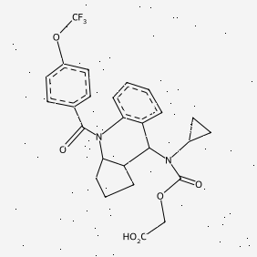 O=C(O)COC(=O)N(C1CC1)C1c2ccccc2N(C(=O)c2ccc(OC(F)(F)F)cc2)C2CCCC21